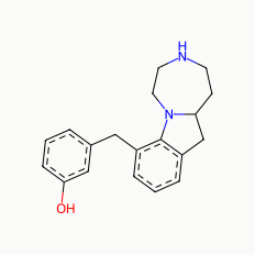 Oc1cccc(Cc2cccc3c2N2CCNCCC2C3)c1